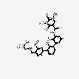 COc1nc(-c2cccc(-c3cccc(NC(=O)c4cn(C)c(=O)n(C)c4=O)c3C)c2Cl)ccc1CNC[C@H](C)O